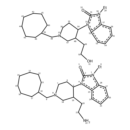 CCn1c(=O)n(C2CCN(CC3CCCCCCC3)CC2CCN)c2ccccc21.CCn1c(=O)n(C2CCN(CC3CCCCCCC3)CC2CCO)c2ccccc21